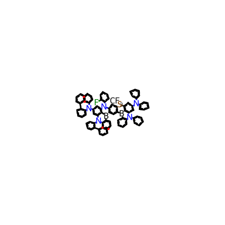 Fc1ccccc1N1c2cc(N(c3ccccc3)c3ccccc3-c3ccccc3)cc3c2B(c2ccccc2N3c2ccccc2-c2ccccc2)c2cc3c(c(C(F)(F)F)c21)Sc1cc(N(c2ccccc2)c2ccccc2)cc2c1B3c1ccccc1N2c1ccccc1